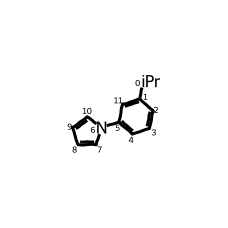 CC(C)c1cccc(-n2cccc2)c1